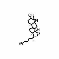 CC(C)CCC[C@@H](C)[C@H]1CO[C@H]2C3=C(CC[C@]12C)[C@@]1(C)CC[C@H](O)C(C)(C)[C@@H]1CC3